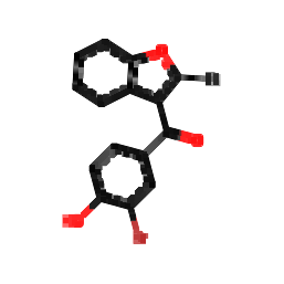 CCc1oc2ccccc2c1C(=O)c1ccc(O)c(Br)c1